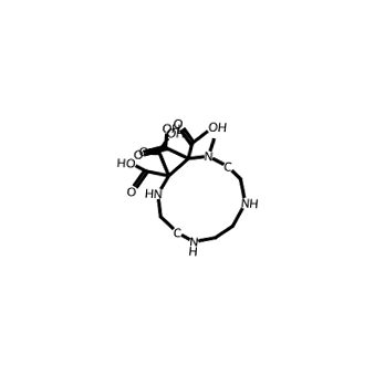 CN1CCNCCNCCNC(C(=O)O)(C(=O)O)C1(C(=O)O)C(=O)O